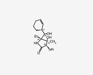 CCC[C@H]1C(=O)N[C@](CC)([C@H](O)[C@@H]2C=CCCC2)[C@@]1(C)O